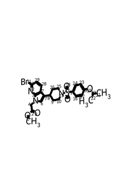 COC(=O)Cn1cc(C2CCN(S(=O)(=O)c3ccc(OC(C)C)cc3)CC2)c2ccc(Br)nc21